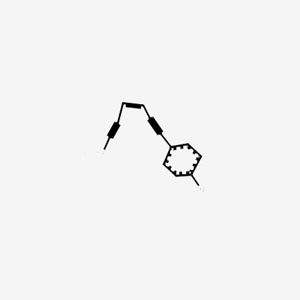 CCCCCCC#C/C=C\C#Cc1ccc([N+](=O)[O-])cc1